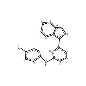 Clc1ccc(Nc2nccc(-c3cnc4ccccn34)n2)cc1